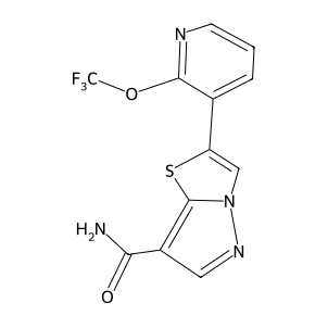 NC(=O)c1cnn2cc(-c3cccnc3OC(F)(F)F)sc12